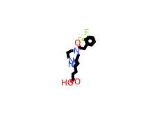 O=C(O)CCc1cc2n(n1)CCCN(C(=O)Cc1cccc(F)c1F)C2